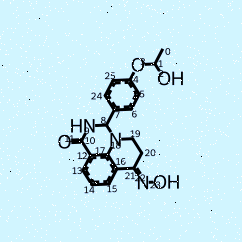 CC(O)Oc1ccc(C2NC(=O)c3cccc4c3N2CC/C4=N\O)cc1